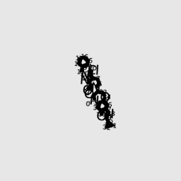 CN1C(=O)[C@@H](N2CCc3c(nn(Cc4ccccc4)c3Cl)C2=O)COc2cc3nc(C4CC4)oc3cc21